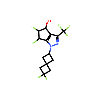 OC1c2c(C(F)(F)F)nn(C3CC4(C3)CC(F)(F)C4)c2C(F)C1F